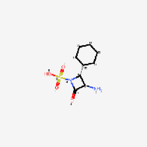 N[C@H]1C(=O)N(S(=O)(=O)O)[C@@H]1C1CCCCC1